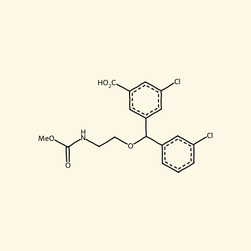 COC(=O)NCCOC(c1cccc(Cl)c1)c1cc(Cl)cc(C(=O)O)c1